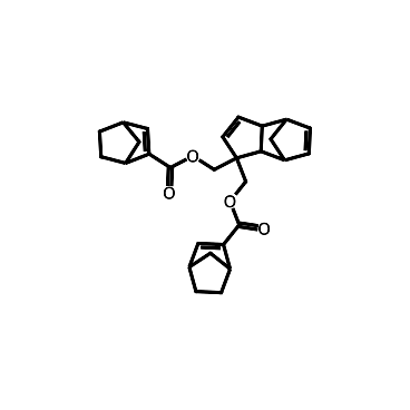 O=C(OCC1(COC(=O)C2=CC3CCC2C3)C=CC2C3C=CC(C3)C21)C1=CC2CCC1C2